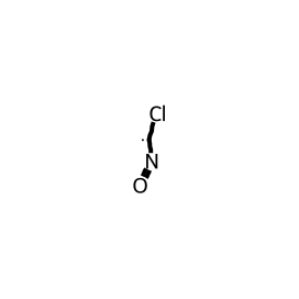 O=N[CH]Cl